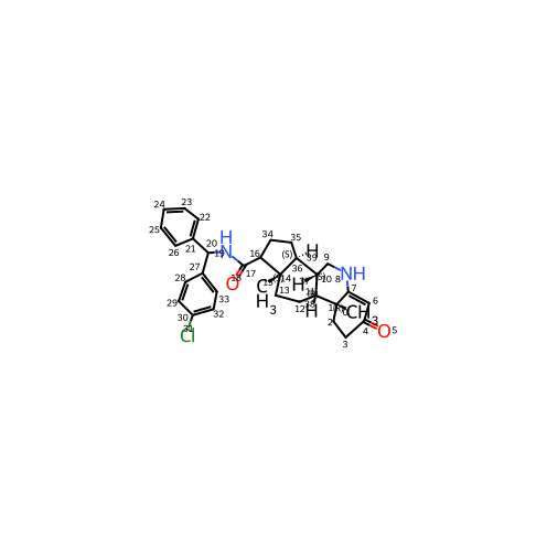 C[C@]12CCC(=O)C=C1NC[C@@H]1[C@H]2CC[C@]2(C)C(C(=O)NC(c3ccccc3)c3ccc(Cl)cc3)CC[C@@H]12